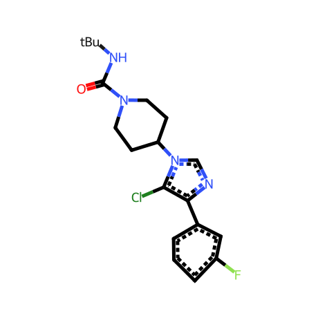 CC(C)(C)NC(=O)N1CCC(n2cnc(-c3cccc(F)c3)c2Cl)CC1